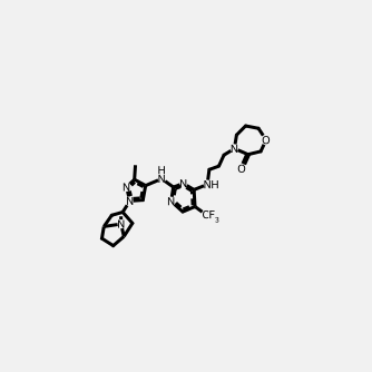 Cc1nn(C2CC3CCC(C2)N3C)cc1Nc1ncc(C(F)(F)F)c(NCCCN2CCCOCC2=O)n1